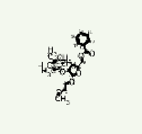 COCCO[C@H]1O[C@H](COC(=O)c2ccccc2)C[C@H]1O[Si](C)(C)C(C)(C)C